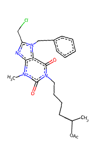 CC(=O)OC(C)CCCCn1c(=O)c2c(nc(CCl)n2Cc2ccccc2)n(C)c1=O